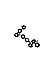 c1ccc(-c2ccc3c4ccccc4n(-c4ccc(-c5ccc(-n6c7ccccc7c7c8c(ccc76)sc6ccccc68)cc5)cc4)c3c2)cc1